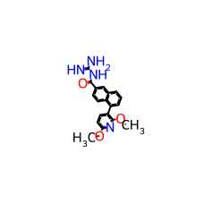 COc1ccc(-c2cccc3cc(C(=O)NC(=N)N)ccc23)c(OC)n1